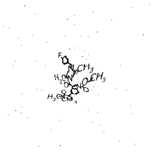 CCOC(=O)n1cc(C(=O)N2C[C@H](C)N(Cc3ccc(F)cc3)C[C@H]2C)c2cc(C(=O)C(=O)N(C)C)ccc21